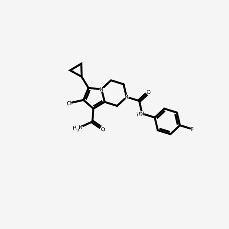 NC(=O)c1c(Cl)c(C2CC2)n2c1CN(C(=O)Nc1ccc(F)cc1)CC2